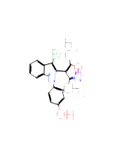 Cc1noc(C)c1-c1c(Br)c2ccccc2n1-c1ccc(O)cc1